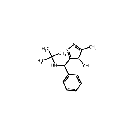 Cc1nnc(C(NC(C)(C)C)c2ccccc2)n1C